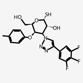 Cc1ccc(O[C@@H]2[C@H](n3cc(-c4cc(F)c(F)c(F)c4)nn3)[C@@H](O)[C@@H](S)O[C@@H]2CO)cc1